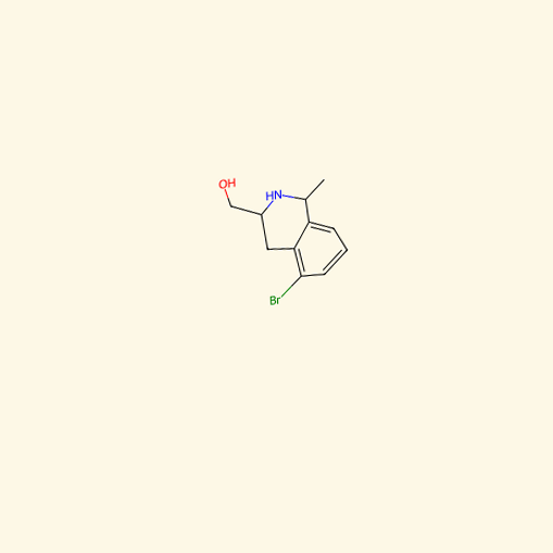 CC1NC(CO)Cc2c(Br)cccc21